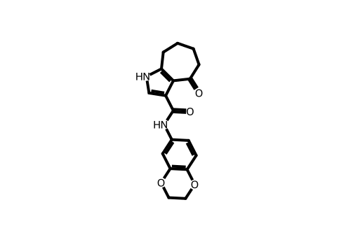 O=C(Nc1ccc2c(c1)OCCO2)c1c[nH]c2c1C(=O)CCCC2